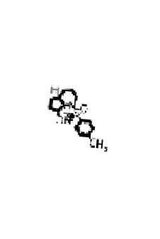 Cc1ccc(S(=O)(=O)N2CCC[C@H]3CCC(O)[C@H]32)cc1